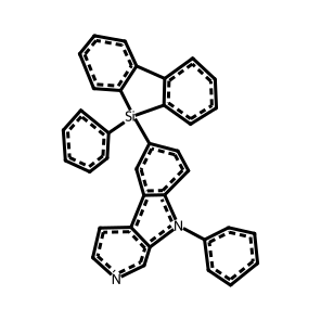 c1ccc(-n2c3ccc([Si]4(c5ccccc5)c5ccccc5-c5ccccc54)cc3c3ccncc32)cc1